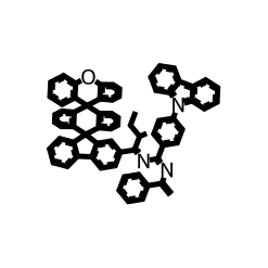 C=C(/N=C(\N=C(\c1ccc2c(c1)C1(c3ccccc3-2)c2ccccc2C2(c3ccccc3Oc3ccccc32)c2ccccc21)C(C)CC)c1ccc(-n2c3ccccc3c3ccccc32)cc1)c1ccccc1